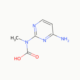 CN(C(=O)O)c1nccc(N)n1